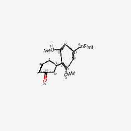 CCCCCc1cc(OC)c(C2CCCC(=O)C2)c(OC)c1